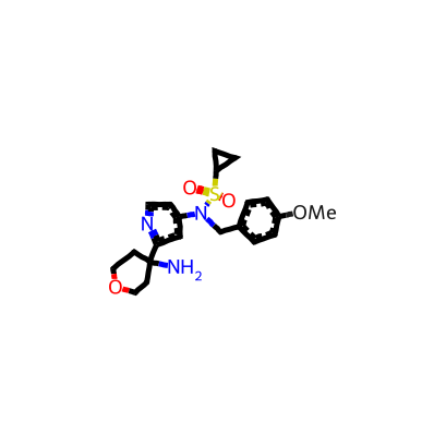 COc1ccc(CN(c2ccnc(C3(N)CCOCC3)c2)S(=O)(=O)C2CC2)cc1